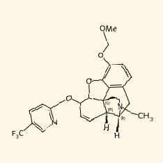 COCOc1ccc2c3c1OC1C(Oc4ccc(C(F)(F)F)cn4)C=C[C@H]4[C@@H](C2)N(C)CC[C@]314